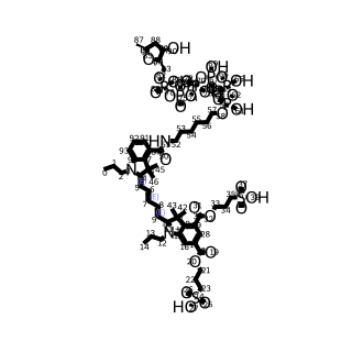 CCCN1/C(=C/C=C/C=C/C2=[N+](CCC)c3cc(C(=O)OCCCS(=O)(=O)O)cc(C(=O)OCCCS(=O)(=O)O)c3C2(C)C)C(C)(C)c2c(C(=O)NCCCCCCOP(=O)(O)OP(=O)(O)OP(=O)(O)OP(=O)(O)OP(=O)(O)OP(=O)(O)OC[C@H]3O[C@@H](C)C[C@H]3O)cccc21